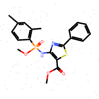 COC(=O)c1sc(-c2ccccc2)nc1NP(=O)(OC)c1ccc(C)cc1C